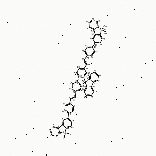 C[Si]1(C)c2ccccc2-c2cc(-c3ccc(/C=C/c4ccc5c(c4)C4(c6ccccc6-c6ccccc64)c4cc(/C=C/c6ccc(-c7ccc8c(c7)-c7ccccc7[Si]8(C)C)cc6)ccc4-5)cc3)ccc21